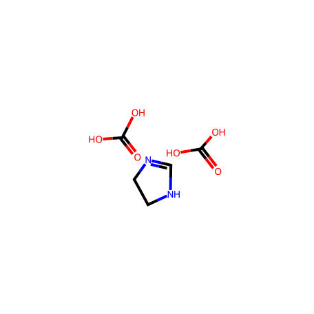 C1=NCCN1.O=C(O)O.O=C(O)O